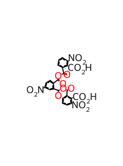 O=C(OC(=O)c1cccc([N+](=O)[O-])c1C(=O)O)c1ccc([N+](=O)[O-])cc1C(=O)OC(=O)c1cccc([N+](=O)[O-])c1C(=O)O